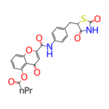 CCCC(=O)Oc1cccc2oc(C(=O)Nc3ccc(CC4SC(=O)NC4=O)cc3)cc(=O)c12